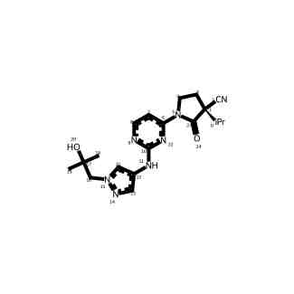 CC(C)[C@]1(C#N)CCN(c2ccnc(Nc3cnn(CC(C)(C)O)c3)n2)C1=O